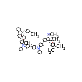 C=CC1=C(/C=C\C)c2ccc(-c3ccc(N(c4ccccc4)c4ccc(-c5ccc(N(c6ccccc6)c6ccc(-c7ccc8c(c7)C(Cc7ccc(C=C)cc7)(Cc7ccc(C=C)cc7)c7ccccc7-8)cc6)cc5)cc4)cc3)cc2C1(Cc1ccc(C=C)cc1)Cc1ccc(C=C)cc1